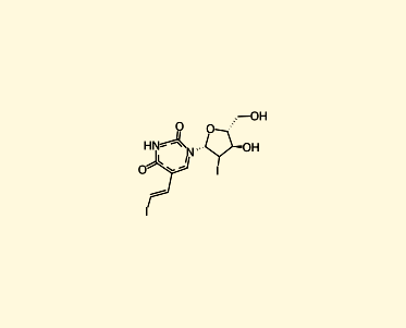 O=c1[nH]c(=O)n([C@@H]2O[C@H](CO)[C@@H](O)C2I)cc1/C=C/I